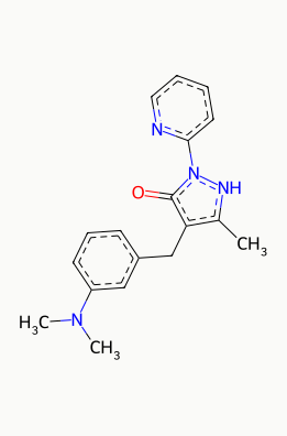 Cc1[nH]n(-c2ccccn2)c(=O)c1Cc1cccc(N(C)C)c1